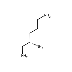 NCCC[C@H](N)CN